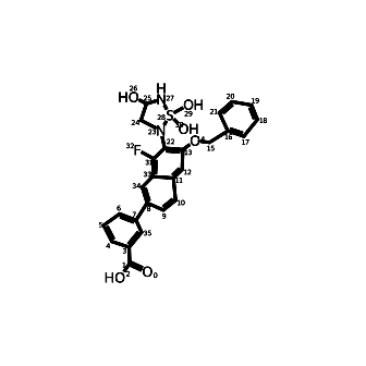 O=C(O)c1cccc(-c2ccc3cc(OCc4ccccc4)c(N4CC(O)NS4(O)O)c(F)c3c2)c1